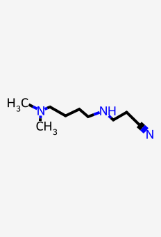 CN(C)CCCCNCCC#N